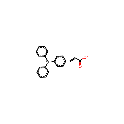 C=CC(=O)[O-].c1cc[c]([Sn+]([c]2ccccc2)[c]2ccccc2)cc1